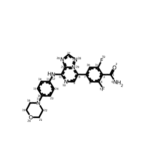 NC(=O)c1c(F)cc(-c2cnc(Nc3ccc(N4CCOCC4)cc3)c3ncnn23)cc1F